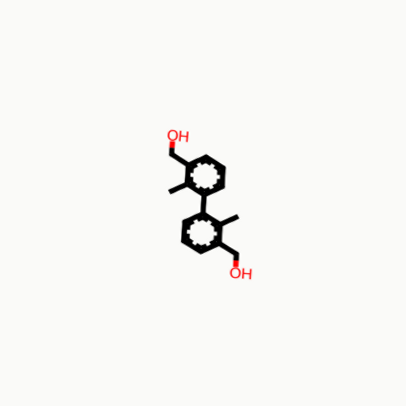 Cc1c(CO)cccc1-c1cccc(CO)c1C